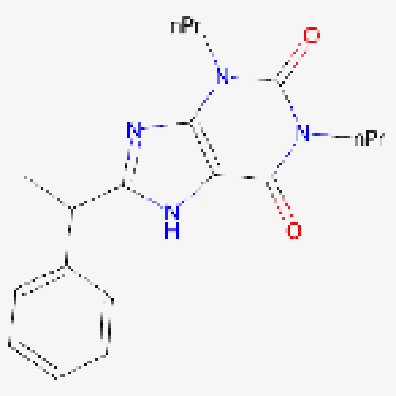 CCCn1c(=O)c2[nH]c(C(C)c3ccccc3)nc2n(CCC)c1=O